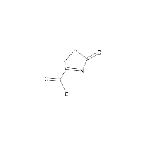 O=C1CCC(C(=O)Cl)=N1